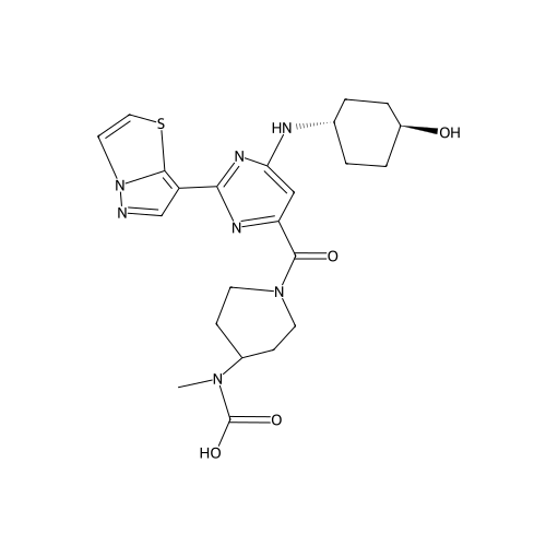 CN(C(=O)O)C1CCN(C(=O)c2cc(N[C@H]3CC[C@H](O)CC3)nc(-c3cnn4ccsc34)n2)CC1